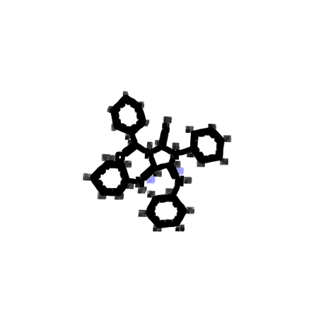 O=C(c1ccccc1)N1C(=S)N(c2ccccc2)C(=N/c2ccccc2)/C1=N/c1ccccc1